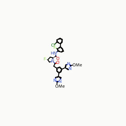 COc1ncc(-c2cc(CC(=O)N3C[C@H](F)C[C@H]3C(=O)Nc3cccc(-c4ccccc4Cl)c3F)cc(-c3cnc(OC)nc3)c2)cn1